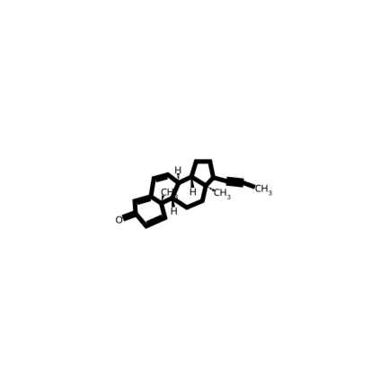 CC#CC1CC[C@H]2[C@@H]3C=CC4=CC(=O)C=C[C@]4(C)[C@H]3CC[C@]12C